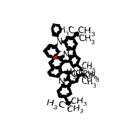 CC(C)(C)c1ccc2c(c1)c1cc(C(C)(C)C)cc3c4c5c(ccc4n2c13)ccc1c5c2cc(C(C)(C)C)cc3c4cc(C(C)(C)C)cc(N(c5ccccc5)c5ccccc5)c4n1c32